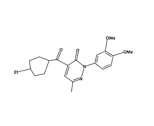 CCC1CCC(C(=O)c2cc(C)nn(-c3ccc(OC)c(OC)c3)c2=O)CC1